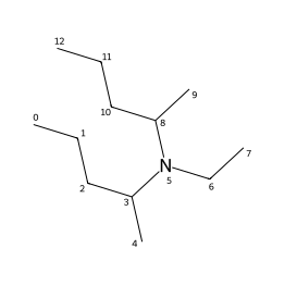 CCCC(C)N(CC)C(C)CCC